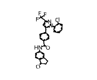 O=C(Nc1ccc2c(c1)CCC2=O)c1ccc(-c2cc(C(F)(F)F)nn2-c2ccccc2Cl)cc1